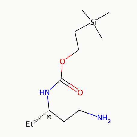 CC[C@@H](CCN)NC(=O)OCC[Si](C)(C)C